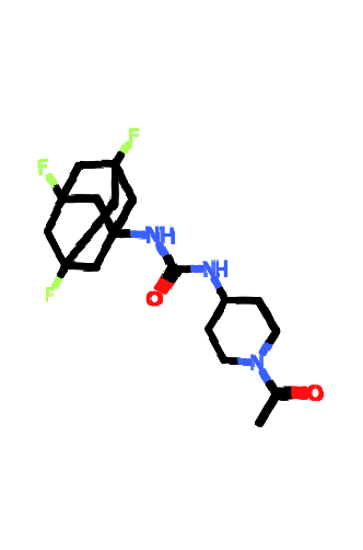 CC(=O)N1CCC(NC(=O)NC23CC4(F)CC(F)(CC(F)(C4)C2)C3)CC1